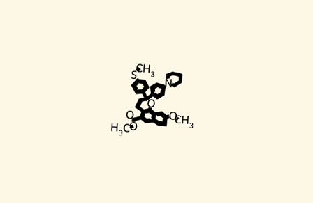 COC(=O)c1cc2ccc(OC)cc2c2c1C=CC(c1ccc(SC)cc1)(c1ccc(N3CCCCC3)cc1)O2